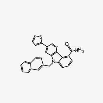 NC(=O)c1cccc2c1c1[c]cc(-c3cccs3)cc1n2Cc1ccc2ccccc2c1